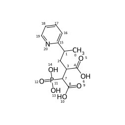 CC(CC(C(=O)O)C(C(=O)O)P(=O)(O)O)c1ccccn1